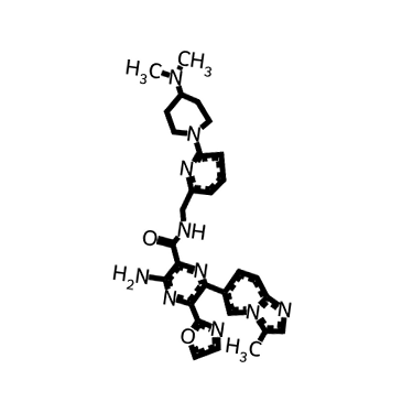 Cc1cnc2ccc(-c3nc(C(=O)NCc4cccc(N5CCC(N(C)C)CC5)n4)c(N)nc3-c3ncco3)cn12